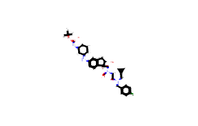 C[C@@H](C1CC1)N(Cc1ccc(F)cc1)C(=O)CN1C(=O)OC2(CCc3cc(NC4CCCC(NC(=O)OC(C)(C)C)C4)ccc32)C1=O